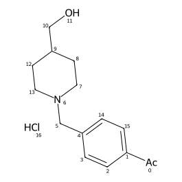 CC(=O)c1ccc(CN2CCC(CO)CC2)cc1.Cl